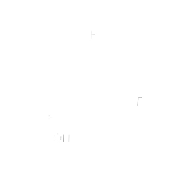 C[C@@H](O)C1CC(F)CC(F)C1